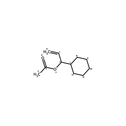 C=CC(OC(C)=O)C1CCCCC1